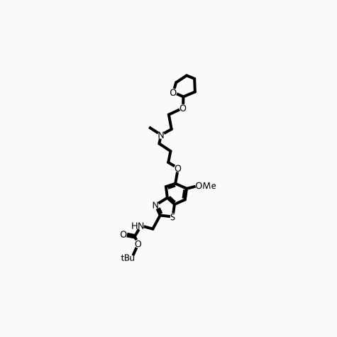 COc1cc2sc(CNC(=O)OC(C)(C)C)nc2cc1OCCCN(C)CCOC1CCCCO1